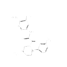 Cc1cc(NC(=O)C(=O)N2C[C@@H](C)CC[C@@H]2c2cccc(C(F)(F)F)c2)cnc1N